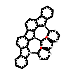 c1ccc2c(c1)c1ccc3c4ccc5c6ccccc6n(-c6ncncn6)c5c4n(-c4ncncn4)c3c1n2-c1ncncn1